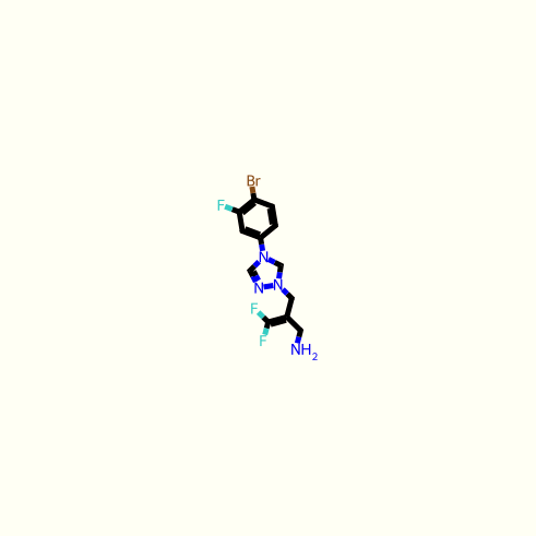 NCC(CN1CN(c2ccc(Br)c(F)c2)C=N1)=C(F)F